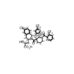 CCC[C@H]1N(C(=O)c2ncccc2C(F)(F)F)CCC[C@]1(Oc1csc(C(F)(F)F)c1)C(=O)N1Cc2ccc(Cl)cc2C[C@@H]1C[C@H](O)C(=O)O